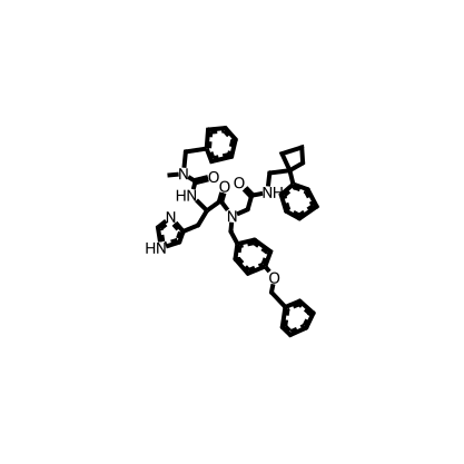 CN(Cc1ccccc1)C(=O)NC(Cc1c[nH]cn1)C(=O)N(CC(=O)NCC1(c2ccccc2)CCC1)Cc1ccc(OCc2ccccc2)cc1